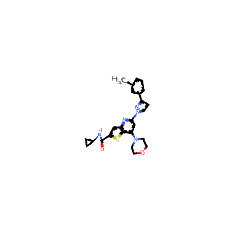 Cc1cccc(-c2ccn(-c3cc(N4CCOCC4)c4sc(C(=O)NC5CC5)cc4n3)n2)c1